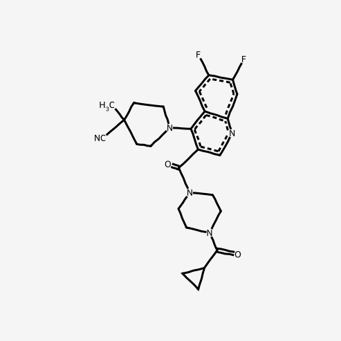 CC1(C#N)CCN(c2c(C(=O)N3CCN(C(=O)C4CC4)CC3)cnc3cc(F)c(F)cc23)CC1